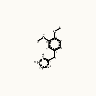 COc1ccc(Cc2nnn[nH]2)cc1OC